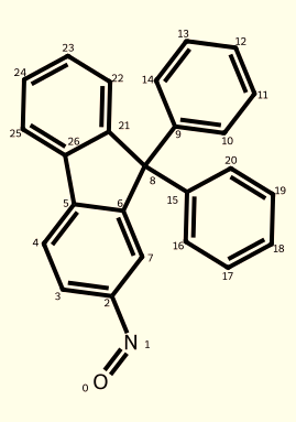 O=Nc1ccc2c(c1)C(c1ccccc1)(c1ccccc1)c1ccccc1-2